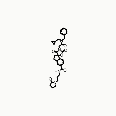 C[C@@H](C1CC1)N(Cc1ccccc1)C(=O)CN1C(=O)O[C@@]2(CCc3cc(C(=O)NCCCN4CCCC4=O)ccc32)C1=O